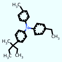 CCc1ccc(N(c2ccc(C)cc2)c2ccc(C(C)(CC)CC)cc2)cc1